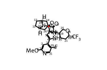 COc1cc(-c2cc(C(=O)N3[C@@H]4CC[C@H]3CC(C(=O)N[C@@H]3CC[C@@H](C(F)(F)F)OC3)C4)n[nH]2)c(F)cn1